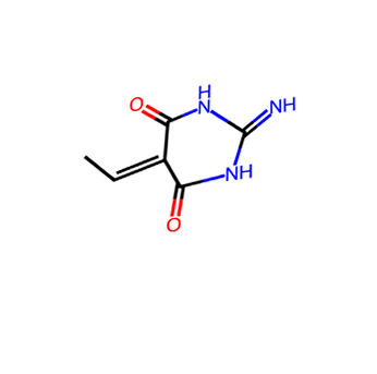 CC=C1C(=O)NC(=N)NC1=O